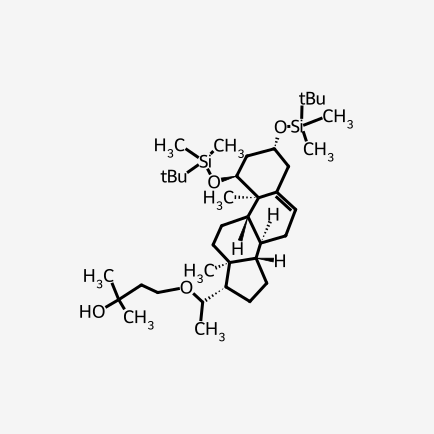 CC(OCCC(C)(C)O)[C@H]1CC[C@H]2[C@@H]3CC=C4C[C@@H](O[Si](C)(C)C(C)(C)C)C[C@H](O[Si](C)(C)C(C)(C)C)[C@]4(C)[C@H]3CC[C@]12C